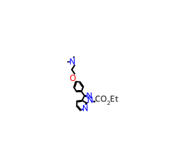 CCOC(=O)Cn1nc(-c2ccc(OCCCN(C)C)cc2)c2cccnc21